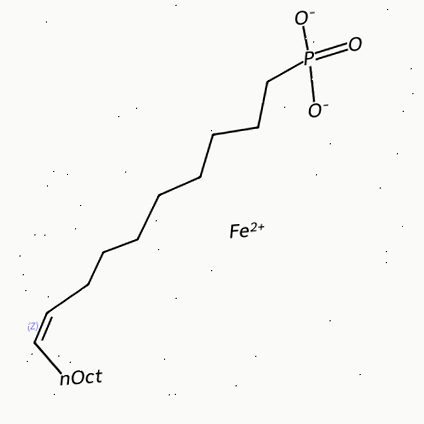 CCCCCCCC/C=C\CCCCCCCCP(=O)([O-])[O-].[Fe+2]